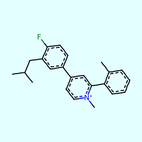 Cc1ccccc1-c1cc(-c2ccc(F)c(CC(C)C)c2)cc[n+]1C